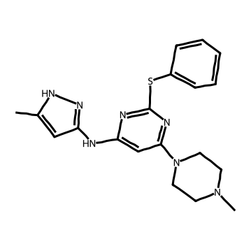 Cc1cc(Nc2cc(N3CCN(C)CC3)nc(Sc3ccccc3)n2)n[nH]1